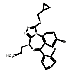 O=C(O)CC[C@@H]1N=C(c2ccccc2F)c2cc(Br)ccc2-n2c(SCC3CC3)nnc21